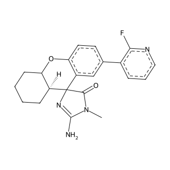 CN1C(=O)C2(N=C1N)c1cc(-c3cccnc3F)ccc1OC1CCCC[C@@H]12